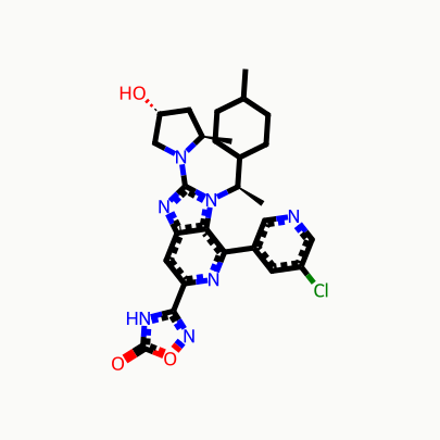 CC1CCC([C@@H](C)n2c(N3C[C@H](O)C[C@H]3C)nc3cc(-c4noc(=O)[nH]4)nc(-c4cncc(Cl)c4)c32)CC1